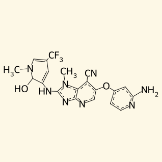 CN1C=C(C(F)(F)F)C=C(Nc2nc3ncc(Oc4ccnc(N)c4)c(C#N)c3n2C)C1O